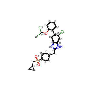 O=S(=O)(CC1CC1)c1ccc(Cc2nc3cc(-c4ccccc4OC(F)F)c(Cl)cc3[nH]2)cc1